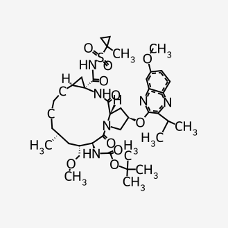 COC[C@@H]1C[C@H](C)CCCC[C@H]2C[C@@]2(C(=O)NS(=O)(=O)C2(C)CC2)NC(=O)[C@@H]2C[C@@H](Oc3nc4cc(OC)ccc4nc3C(C)C)CN2C(=O)[C@H]1NC(=O)OC(C)(C)C